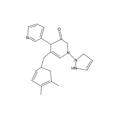 CC1=C(C)C=CC(CC2=CN(N3CC=CN3)CC(=O)C2c2cccnc2)[CH]1